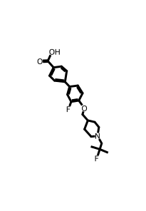 CC(C)(F)CN1CCC(COc2ccc(-c3ccc(C(=O)O)cc3)cc2F)CC1